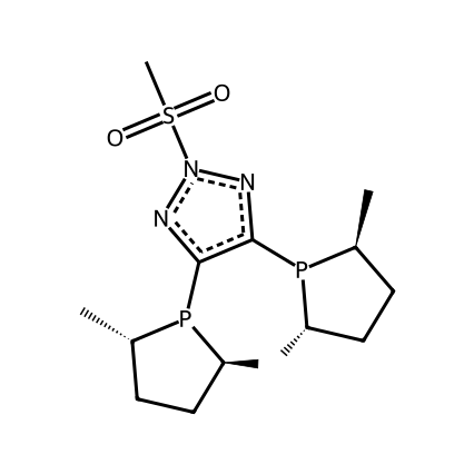 C[C@H]1CC[C@H](C)P1c1nn(S(C)(=O)=O)nc1P1[C@@H](C)CC[C@@H]1C